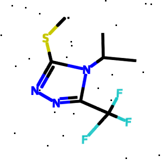 [CH2]Sc1nnc(C(F)(F)F)n1C(C)C